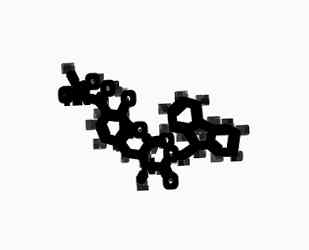 COc1cc(CC(C(=O)O)N(C)C(=O)OCC2c3ccccc3-c3ccccc32)ccc1C(=O)NS(C)(=O)=O